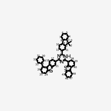 CC1(C)c2ccccc2-c2ccc(C3N=C(c4ccc5c(c4)sc4cccc(-c6ccccc6)c45)N=C(c4cccc5c4sc4ccccc45)N3)cc21